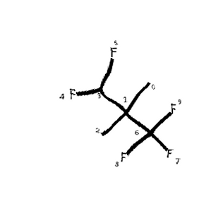 CC(C)(C(F)F)C(F)(F)F